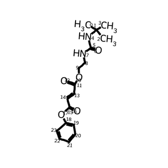 CC(C)(C)NC(=O)NCCOC(=O)/C=C/C(=O)Oc1ccccc1